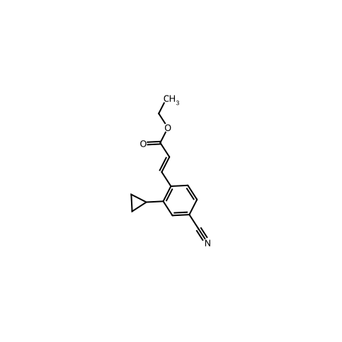 CCOC(=O)C=Cc1ccc(C#N)cc1C1CC1